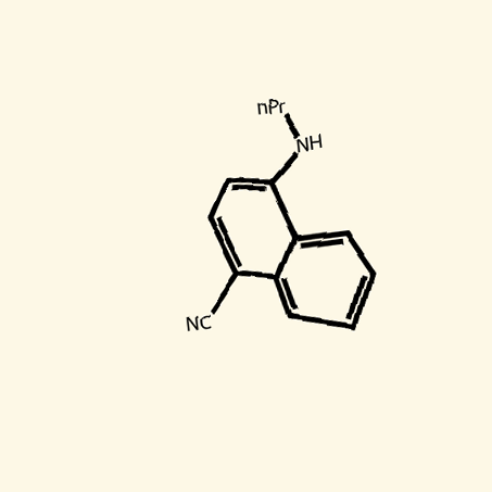 CCCNc1ccc(C#N)c2ccccc12